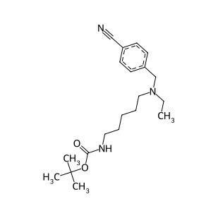 CCN(CCCCCNC(=O)OC(C)(C)C)Cc1ccc(C#N)cc1